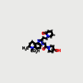 C[C@H]1CCc2c(ccc3c2nc(CCn2ccccc2=O)n3CC(=O)N2CCC(O)CC2)N1C(=O)O